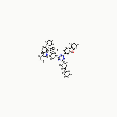 CC1(C)c2ccccc2-c2ccc3c4ccccc4n(-c4ccc(-c5nc(-c6ccc(-c7ccccc7)cc6)nc(-c6ccc7c(c6)oc6ccccc67)n5)cc4)c3c21